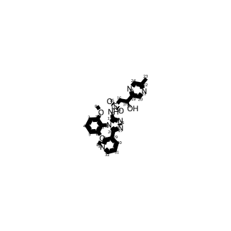 COc1cccc(OC)c1-n1c(NS(=O)(=O)C[C@H](O)c2cnc(C)cn2)nnc1-c1cccnc1